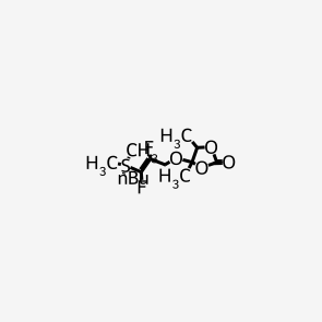 CCCCS(C)(C)/C(F)=C(\F)COC1(C)OC(=O)OC1C